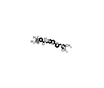 Cc1ccc(C(=O)NCc2cc3nc(-c4cccc(CN5C[C@@H](C)O[C@@H](C)C5)n4)ccc3cn2)cc1S(C)(=O)=O